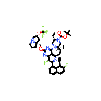 C#Cc1c(F)ccc2cccc(-c3nc4c5c(nc(OC[C@]67CCCN6C[C@H](OC(F)(F)F)C7)nc5c3F)N3C[C@@H](CC)N(C(=O)OC(C)(C)C)C[C@H]3CC4)c12